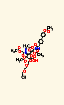 C#CCOCCOCCO[C@]1(C(=O)O)C[C@H](OC(C)=O)[C@@H](NC(=O)COC(C)=O)[C@H]([C@H](OC(C)=O)[C@@H](CNC(=O)Cc2ccc(-c3ccc(OC(C)=O)cc3)cc2)OC(C)=O)O1